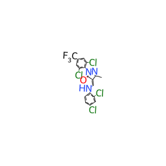 CC1=NN(c2c(Cl)cc(C(F)(F)F)cc2Cl)C(=O)C1=CNc1ccc(Cl)cc1Cl